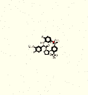 COc1cc([C@H](Nc2cc(C(N)=O)ccc2F)C(=O)N2CCC[C@@H]2c2cc(N(C)C(=O)O)ccc2S(=O)(=O)C(C)C)ccc1F